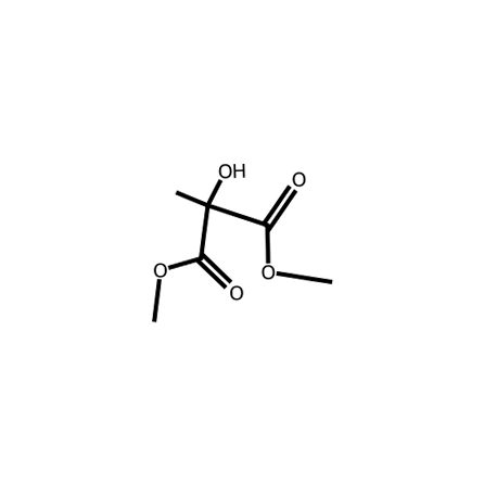 COC(=O)C(C)(O)C(=O)OC